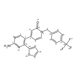 Nc1ncc(-c2ccn(Cc3ccc(C(F)(F)F)cc3)c(=O)c2)c(-c2ccco2)n1